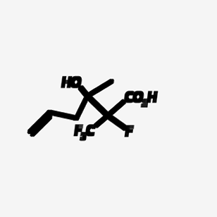 C=CCC(C)(O)C(F)(C(=O)O)C(F)(F)F